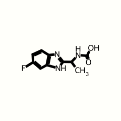 CC(NC(=O)O)c1nc2ccc(F)cc2[nH]1